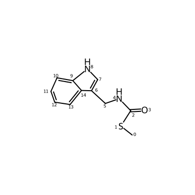 CSC(=O)NCc1c[nH]c2ccccc12